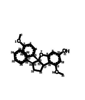 COc1ccc([C@@]23Oc4cc(O)cc(OC)c4C2CC[C@H]3c2ccccc2)cc1